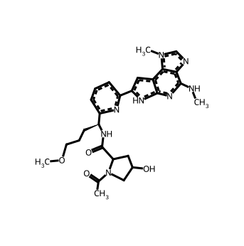 CNc1nc2[nH]c(-c3cccc([C@H](CCCOC)NC(=O)C4CC(O)CN4C(C)=O)n3)cc2c2c1ncn2C